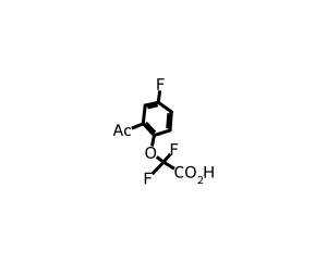 CC(=O)c1cc(F)ccc1OC(F)(F)C(=O)O